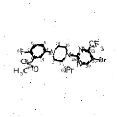 CC(C)[C@@H]1CN(c2ccc(F)c(S(C)(=O)=O)c2)CCN1c1ncc(Br)c(C(F)(F)F)n1